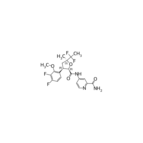 COc1c([C@H]2C[C@@](C)(C(C)(F)F)O[C@H]2C(=O)Nc2ccnc(C(N)=O)c2)ccc(F)c1F